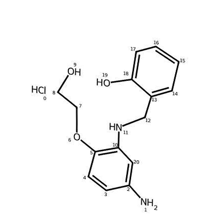 Cl.Nc1ccc(OCCO)c(NCc2ccccc2O)c1